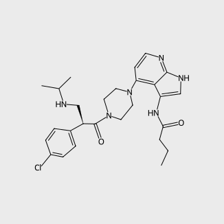 CCCC(=O)Nc1c[nH]c2nccc(N3CCN(C(=O)[C@H](CNC(C)C)c4ccc(Cl)cc4)CC3)c12